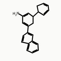 NC1=CC(C2C=CC=CC2)CC(c2ccc3ccccc3c2)=C1